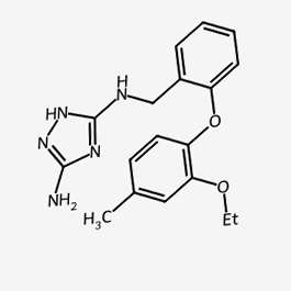 CCOc1cc(C)ccc1Oc1ccccc1CNc1nc(N)n[nH]1